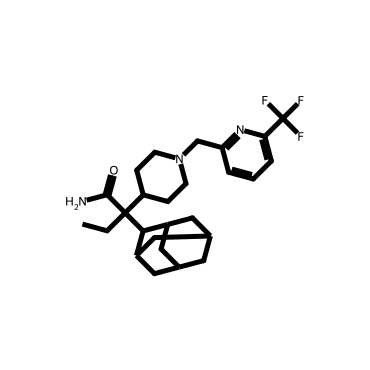 CCC(C(N)=O)(C1CCN(Cc2cccc(C(F)(F)F)n2)CC1)C1C2CC3CC(C2)CC1C3